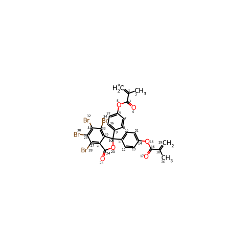 C=C(C)C(=O)Oc1ccc(C2(c3ccc(OC(=O)C(=C)C)cc3)OC(=O)c3c(Br)c(Br)c(Br)c(Br)c32)cc1